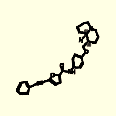 O=C(Nc1ccc(OC[C@@H]2CCCN3CCCC[C@H]23)cc1)c1ccc(C#Cc2ccccc2)o1